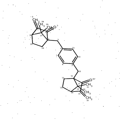 C=C1C(=O)C2(Cc3ccc(CC45CCC(C(=C)C4=O)C5(C)C)cc3)CCC1C2(C)C